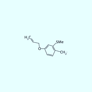 [CH2]c1ccc(OCC=C)cc1SC